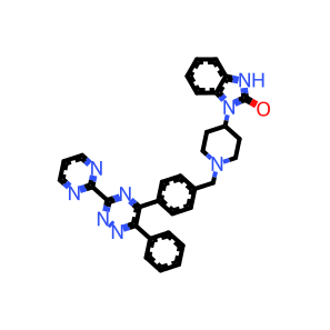 O=c1[nH]c2ccccc2n1C1CCN(Cc2ccc(-c3nc(-c4ncccn4)nnc3-c3ccccc3)cc2)CC1